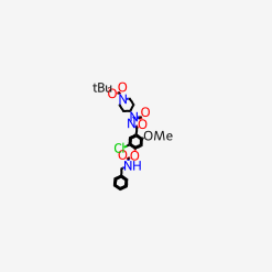 COc1cc(OC(=O)NCc2ccccc2)c(Cl)cc1-c1nn(C2CCN(C(=O)OC(C)(C)C)CC2)c(=O)o1